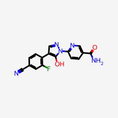 N#Cc1ccc(-c2cnn(-c3ccc(C(N)=O)cn3)c2O)c(F)c1